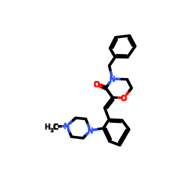 CN1CCN(c2ccccc2C=C2OCCN(Cc3ccccc3)C2=O)CC1